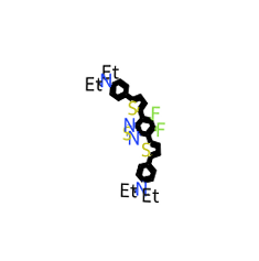 CCN(CC)c1ccc(-c2ccc(-c3c(F)c(F)c(-c4ccc(-c5ccc(N(CC)CC)cc5)s4)c4nsnc34)s2)cc1